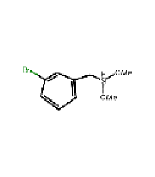 CO[SiH](Cc1cccc(Br)c1)OC